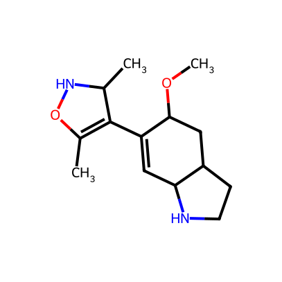 COC1CC2CCNC2C=C1C1=C(C)ONC1C